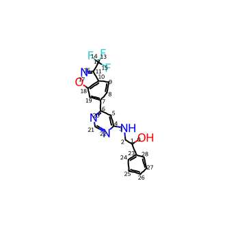 OC(CNc1cc(-c2ccc3c(C(F)(F)F)noc3c2)ncn1)c1ccccc1